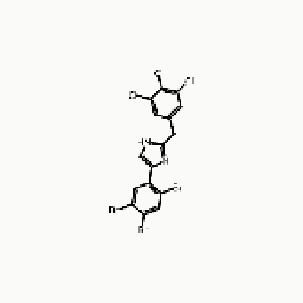 Clc1cc(Cc2nc(-c3cc(Br)c(Br)cc3Br)c[nH]2)cc(Cl)c1Cl